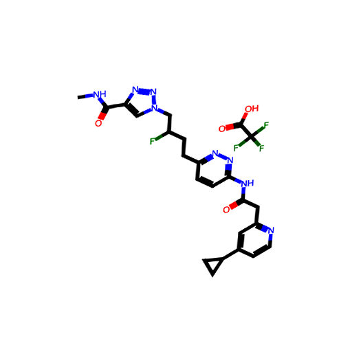 CNC(=O)c1cn(CC(F)CCc2ccc(NC(=O)Cc3cc(C4CC4)ccn3)nn2)nn1.O=C(O)C(F)(F)F